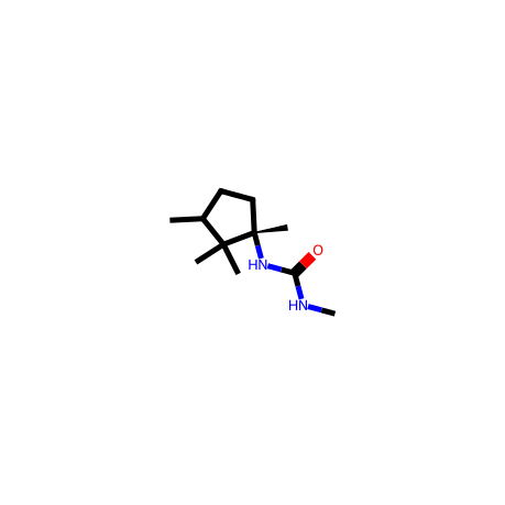 CNC(=O)N[C@@]1(C)CCC(C)C1(C)C